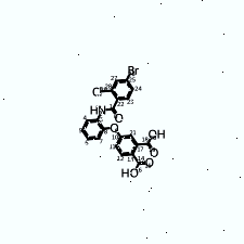 O=C(Nc1ccccc1Oc1ccc(C(=O)O)c(C(=O)O)c1)c1ccc(Br)cc1Cl